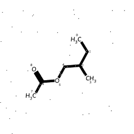 CCC(C)COC(C)=O